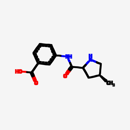 C[C@@H]1CNC(C(=O)Nc2cccc(C(=O)O)c2)C1